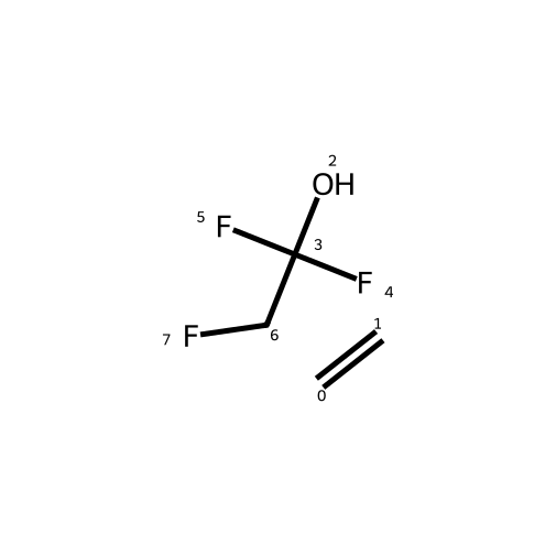 C=C.OC(F)(F)CF